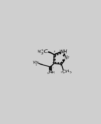 Cc1n[nH]c(C)c1C(=N)N